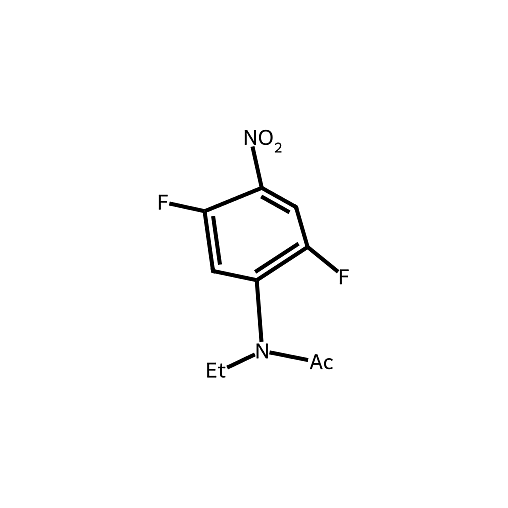 CCN(C(C)=O)c1cc(F)c([N+](=O)[O-])cc1F